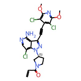 C=CC(=O)N1CC[C@H](n2nc(C#Cc3c(Cl)c(OC)nc(OC)c3Cl)c3c(N)ncc(Cl)c32)C1